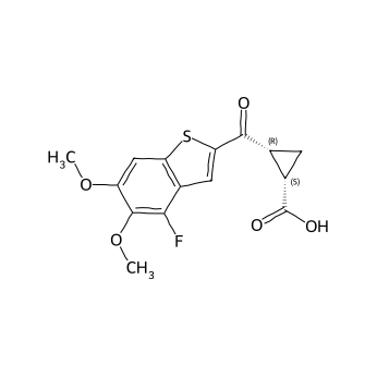 COc1cc2sc(C(=O)[C@@H]3C[C@@H]3C(=O)O)cc2c(F)c1OC